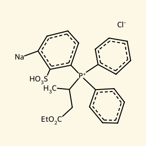 CCOC(=O)CC(C)[P+](c1ccccc1)(c1ccccc1)c1ccc[c]([Na])c1S(=O)(=O)O.[Cl-]